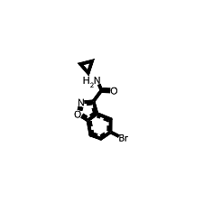 C1CC1.NC(=O)c1noc2ccc(Br)cc12